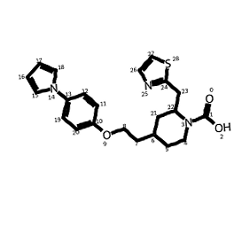 O=C(O)N1CCC(CCOc2ccc(-n3cccc3)cc2)CC1Cc1nccs1